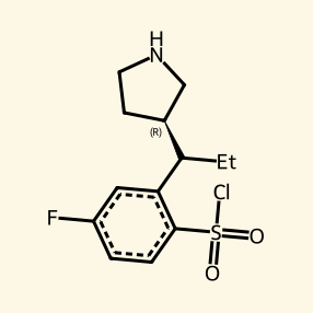 CCC(c1cc(F)ccc1S(=O)(=O)Cl)[C@H]1CCNC1